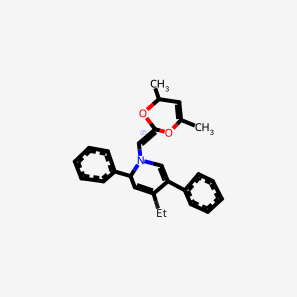 CCC1=CC(c2ccccc2)N(/C=C2\OC(C)=CC(C)O2)C=C1c1ccccc1